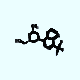 C[C@@H]1CN(c2cnc(C(F)(F)F)c3ncccc23)C[C@H](CO)O1